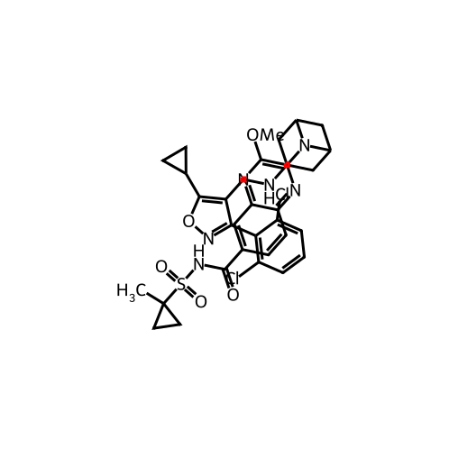 COc1nc2cc(C(=O)NS(=O)(=O)C3(C)CC3)ccc2nc1N1C2CC(NCc3c(-c4c(Cl)cccc4Cl)noc3C3CC3)CC1C2